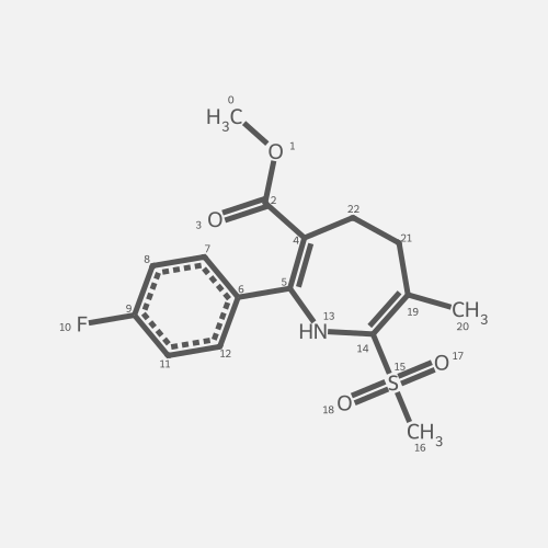 COC(=O)C1=C(c2ccc(F)cc2)NC(S(C)(=O)=O)=C(C)CC1